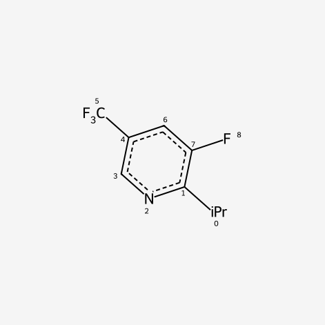 CC(C)c1ncc(C(F)(F)F)cc1F